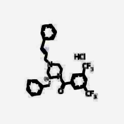 Cl.O=C(c1cc(C(F)(F)F)cc(C(F)(F)F)c1)N1CCN(C/C=C/c2ccccc2)C[C@H]1Cc1ccccc1